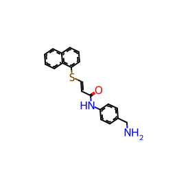 NCc1ccc(NC(=O)C=CSc2cccc3ccccc23)cc1